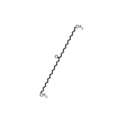 CCCCCCCCCCCCCCCCCC(=O)CCCCCCCCCCCCCCC